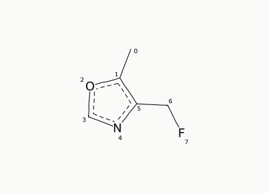 Cc1ocnc1CF